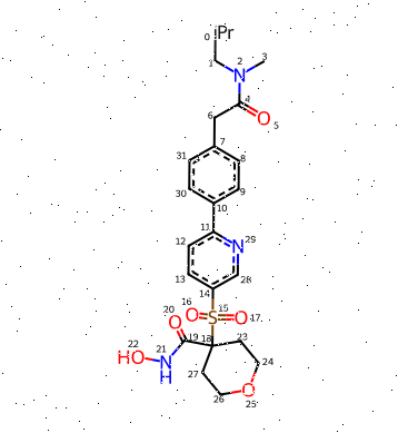 CC(C)CN(C)C(=O)Cc1ccc(-c2ccc(S(=O)(=O)C3(C(=O)NO)CCOCC3)cn2)cc1